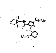 CNC(=O)c1cc(C(=O)NC2[C@H]3COC[C@@H]23)n([C@@H](C)c2ccccc2OC)n1